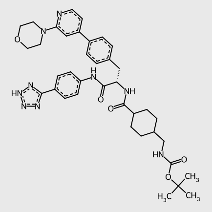 CC(C)(C)OC(=O)NCC1CCC(C(=O)N[C@@H](Cc2ccc(-c3ccnc(N4CCOCC4)c3)cc2)C(=O)Nc2ccc(-c3nn[nH]n3)cc2)CC1